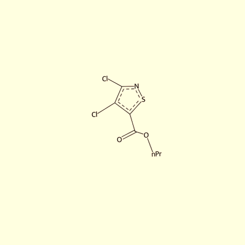 CCCOC(=O)c1snc(Cl)c1Cl